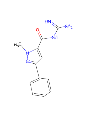 Cn1nc(-c2ccccc2)cc1C(=O)NC(=N)N